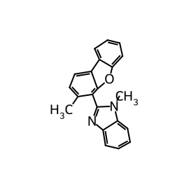 Cc1ccc2c(oc3ccccc32)c1-c1nc2ccccc2n1C